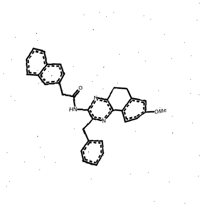 COc1ccc2c(c1)CCc1nc(NC(=O)Cc3ccc4ccccc4c3)c(Cc3ccccc3)nc1-2